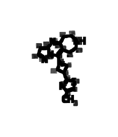 Cc1csc(C2CN(c3c4c(nc5ccnn35)CCNCC4)C2)n1